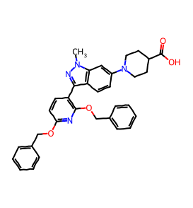 Cn1nc(-c2ccc(OCc3ccccc3)nc2OCc2ccccc2)c2ccc(N3CCC(C(=O)O)CC3)cc21